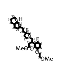 COCCOc1ccc(F)c(C(CC(=O)OC)CN2CC[C@@](F)(CCc3ccc4c(n3)NCCC4)C2)c1